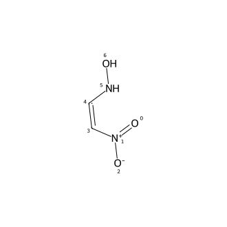 O=[N+]([O-])/C=[C]\NO